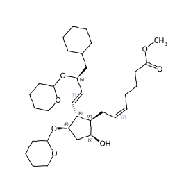 COC(=O)CCC/C=C\C[C@@H]1[C@@H](/C=C/[C@H](CC2CCCCC2)OC2CCCCO2)[C@H](OC2CCCCO2)C[C@@H]1O